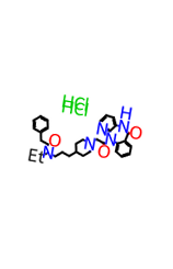 CCN(CCCC1CCN(CC(=O)N2c3ccccc3C(=O)Nc3cccnc32)CC1)C(=O)Cc1ccccc1.Cl.Cl